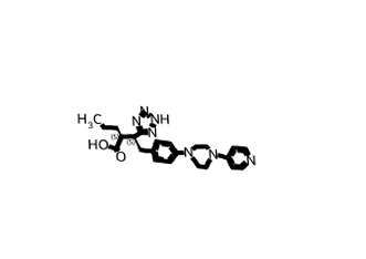 CCC[C@H](C(=O)O)[C@H](Cc1ccc(N2CCN(c3ccncc3)CC2)cc1)c1nn[nH]n1